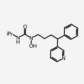 CC(C)NC(=O)N(O)CCCC(c1ccccc1)c1cccnc1